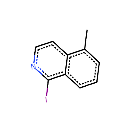 Cc1cccc2c(I)nccc12